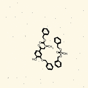 CN(CC(=O)c1ccc(O)c(OCc2ccccc2)c1)C(=O)OCc1ccccc1.O=P(O)(OCc1ccccc1)OCc1ccccc1